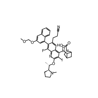 COCOc1cc(-c2c(CCC#N)cc3c(NC4C5CC4N(C(=O)O)C5)c(I)c(O[C@@H](C)[C@@H]4CCCN4C)nc3c2F)c2ccccc2c1